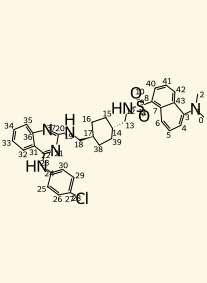 CN(C)c1cccc2c(S(=O)(=O)NC[C@H]3CC[C@H](CNc4nc(Nc5ccc(Cl)cc5)c5ccccc5n4)CC3)cccc12